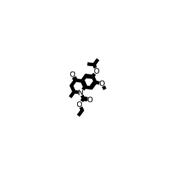 CCOC(=O)N1c2cc(OC)c(OC(C)C)cc2C(=O)CC1C